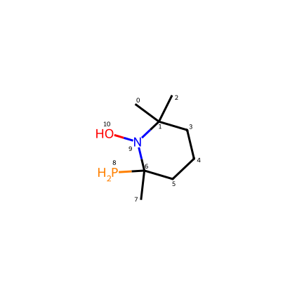 CC1(C)CCCC(C)(P)N1O